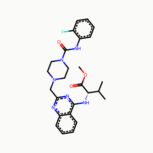 COC(=O)[C@@H](Nc1nc(CN2CCN(C(=O)Nc3ccccc3F)CC2)nc2ccccc12)C(C)C